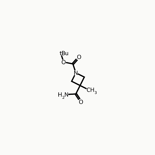 CC(C)(C)OC(=O)N1CC(C)(C(N)=O)C1